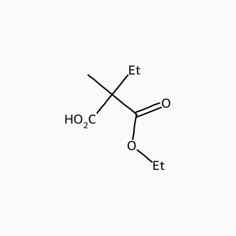 CCOC(=O)C(C)(CC)C(=O)O